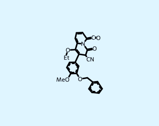 CCOC1=C(c2ccc(OC)c(OCc3ccccc3)c2)C(C#N)C(=O)N2C(=C=O)C=CC=C12